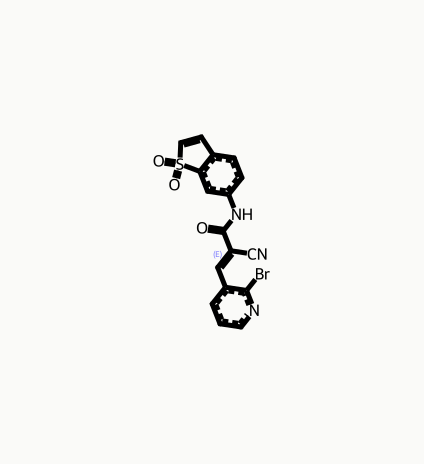 N#C/C(=C\c1cccnc1Br)C(=O)Nc1ccc2c(c1)S(=O)(=O)C=C2